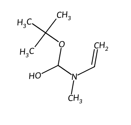 C=CN(C)C(O)OC(C)(C)C